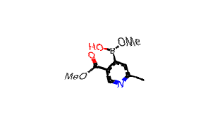 COB(O)c1cc(C)ncc1C(=O)OC